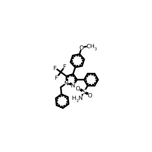 COc1ccc(-c2c(-c3ccccc3S(N)(=O)=O)nn(Cc3ccccc3)c2C(F)(F)F)cc1